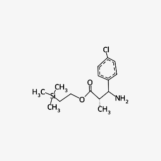 C[C@H](C(=O)OCC[Si](C)(C)C)C(N)c1ccc(Cl)cc1